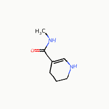 CNC(=O)C1=CNCCC1